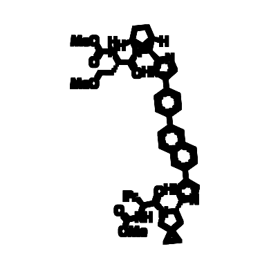 COCC[C@H](NC(=O)OC)C(=O)N1[C@@H]2CC[C@@H](C2)[C@H]1c1ncc(-c2ccc(-c3ccc4cc(-c5cnc([C@@H]6CC7(CC7)CN6C(=O)[C@@H](NC(=O)OC)C(C)C)[nH]5)ccc4c3)cc2)[nH]1